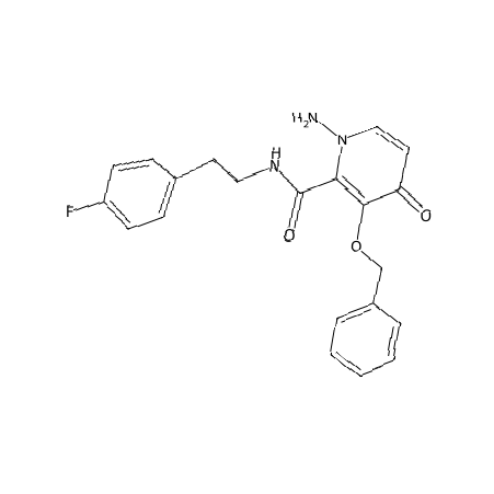 Nn1ccc(=O)c(OCc2ccccc2)c1C(=O)NCCc1ccc(F)cc1